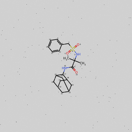 CC(C)(NS(=O)(=O)Cc1ccccc1)C(=O)NC1C2CC3CC(C2)CC1C3